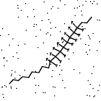 CCCCCCCCCC(F)(F)C(F)(F)C(F)(F)C(F)(F)C(F)(F)C(F)(F)C(F)(F)C(F)(F)CCC